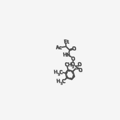 CCC(C(C)=O)C(=O)NOOS(=O)(=O)c1ccc(C)c(C)c1C